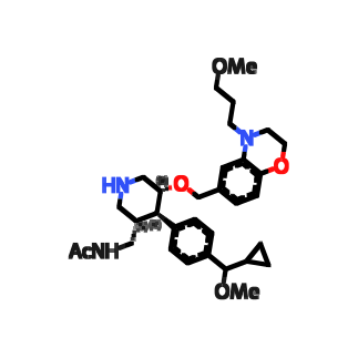 COCCCN1CCOc2ccc(CO[C@H]3CNC[C@@H](CNC(C)=O)[C@@H]3c3ccc(C(OC)C4CC4)cc3)cc21